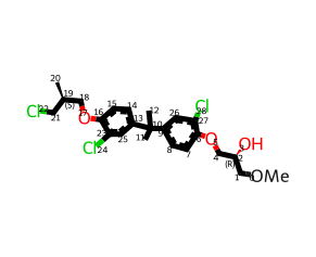 COC[C@@H](O)COc1ccc(C(C)(C)c2ccc(OC[C@H](C)CCl)c(Cl)c2)cc1Cl